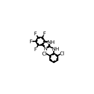 Fc1c(F)c(F)c2[nH]c(Nc3c(Cl)cccc3Cl)nc2c1F